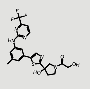 Cc1cc(Nc2nccc(C(F)(F)F)n2)cc(-c2cnc(C3(O)CCN(C(=O)CO)C3)s2)c1